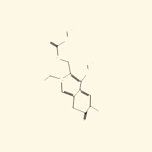 CCCCOC1=C(CNC(=O)OC(C)(C)C)N(CC(C)C)C=C2CC(=O)C(C(=O)O)C=C21